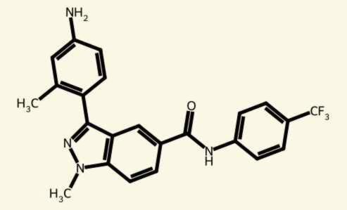 Cc1cc(N)ccc1-c1nn(C)c2ccc(C(=O)Nc3ccc(C(F)(F)F)cc3)cc12